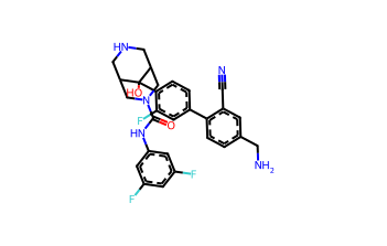 N#Cc1cc(CN)ccc1-c1ccc(C2(O)C3CNCC2CN(C(=O)Nc2cc(F)cc(F)c2)C3)c(F)c1